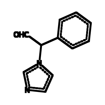 O=CC(c1ccccc1)n1ccnc1